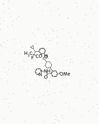 COc1ccc(C(=O)Nc2ccccn2)c(C2CCC(COc3cccc(C(C4CC4)C(C)(F)C(=O)O)c3)CC2)c1